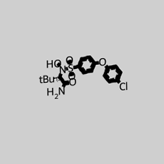 CC(C)(C)[C@@H](C(N)=O)N(O)S(=O)(=O)c1ccc(Oc2ccc(Cl)cc2)cc1